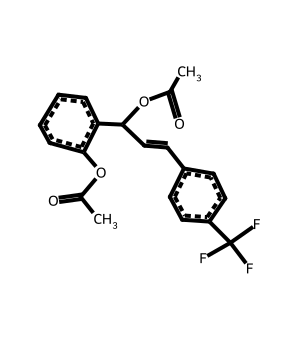 CC(=O)Oc1ccccc1C(/C=C/c1ccc(C(F)(F)F)cc1)OC(C)=O